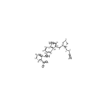 N#CCCN1CCC[C@@H]1Cc1c[nH]c2ccc(Nc3ncccc3[N+](=O)[O-])cc12